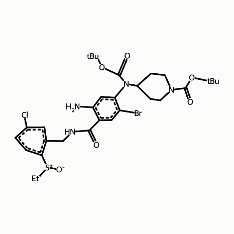 CC[S+]([O-])c1ccc(Cl)cc1CNC(=O)c1cc(Br)c(N(C(=O)OC(C)(C)C)C2CCN(C(=O)OC(C)(C)C)CC2)cc1N